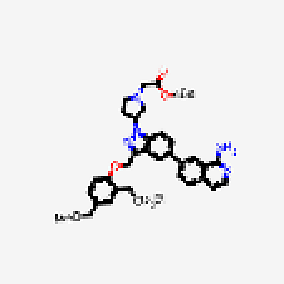 CCOC(=O)Cc1cc(COC)ccc1OCc1nn(C2CCN(CC(=O)OC(C)(C)C)C2)c2ccc(-c3ccc4ccnc(N)c4c3)cc12